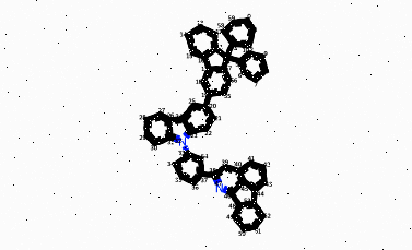 c1ccc(C2(c3ccccc3)c3ccccc3-c3cc(-c4ccc5c(c4)c4ccccc4n5-c4cccc(-c5cc6cccc7c6c(n5)-c5ccccc5-7)c4)ccc32)cc1